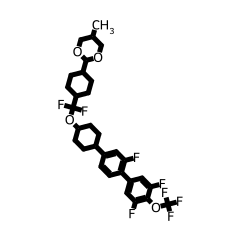 CC1COC(C2CCC(C(F)(F)OC3CCC(c4ccc(-c5cc(F)c(OC(F)(F)F)c(F)c5)c(F)c4)CC3)CC2)OC1